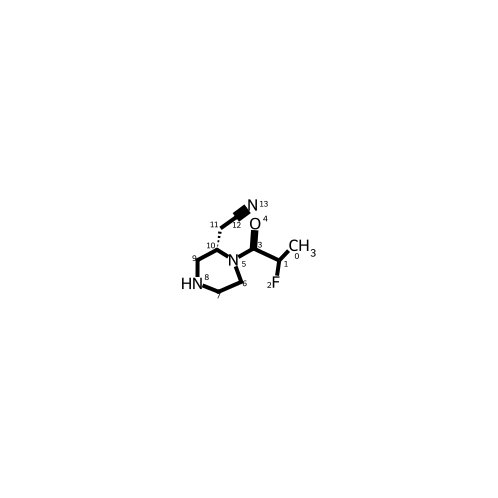 CC(F)C(=O)N1CCNC[C@@H]1CC#N